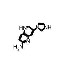 Nc1ccc2c(n1)C=C(N1C=CNC1)CN2